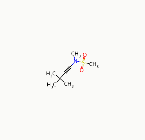 CN(C#CC(C)(C)C)S(C)(=O)=O